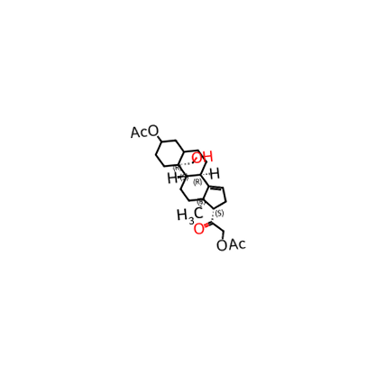 CC(=O)OCC(=O)[C@H]1CC=C2[C@@H]3CCC4CC(OC(C)=O)CC[C@]4(CO)[C@H]3CC[C@@]21C